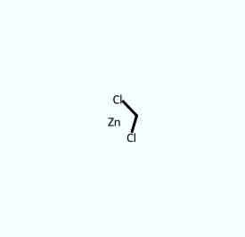 ClCCl.[Zn]